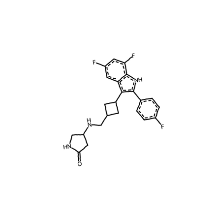 O=C1CC(NCC2CC(c3c(-c4ccc(F)cc4)[nH]c4c(F)cc(F)cc34)C2)CN1